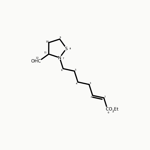 CCOC(=O)C=CCCCCN1SCCC1C=O